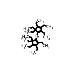 CCC1=C(CC)C(CC)(CC)[C]([Fe][C]2=C(CC)C(CC)=C(CC)C2(CC)CC)=C1CC